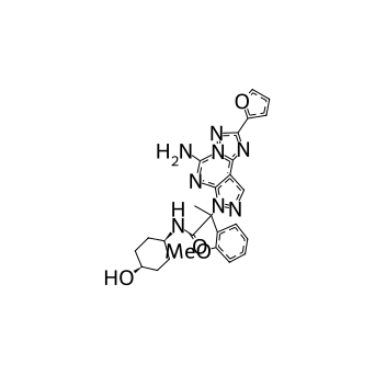 COc1ccccc1C(C)(C(=O)N[C@H]1CC[C@@H](O)CC1)n1ncc2c1nc(N)n1nc(-c3ccco3)nc21